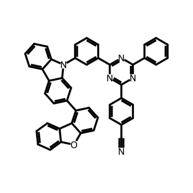 N#Cc1ccc(-c2nc(-c3ccccc3)nc(-c3cccc(-n4c5ccccc5c5ccc(-c6cccc7oc8ccccc8c67)cc54)c3)n2)cc1